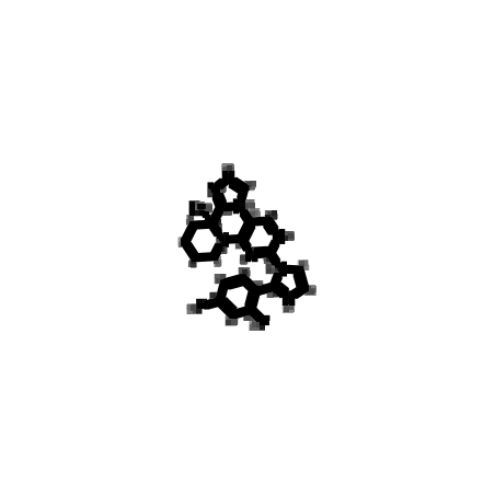 CC[C@@]12CCCCN1c1nc(-n3ccnc3-c3ccc(F)cc3F)ncc1-n1cnnc12